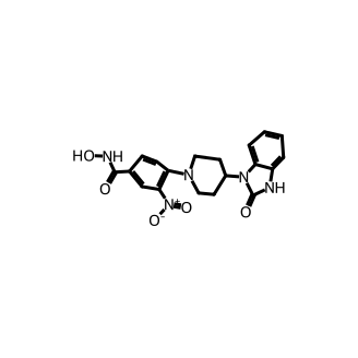 O=C(NO)c1ccc(N2CCC(n3c(=O)[nH]c4ccccc43)CC2)c([N+](=O)[O-])c1